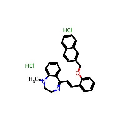 CN1CCN=C(C=Cc2ccccc2OCc2ccc3ccccc3c2)c2ccccc21.Cl.Cl